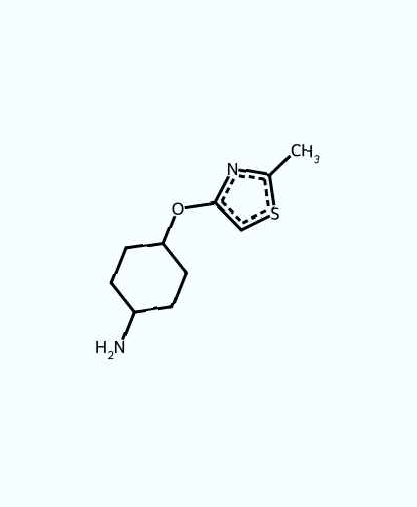 Cc1nc(OC2CCC(N)CC2)cs1